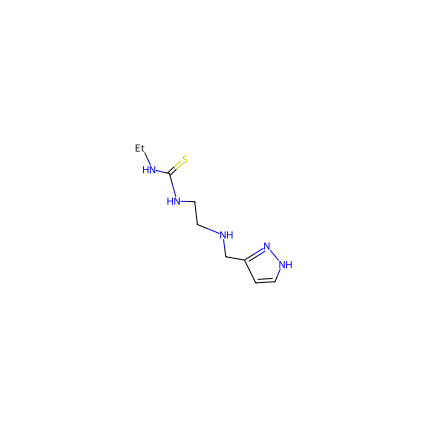 CCNC(=S)NCCNCc1cc[nH]n1